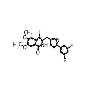 COc1cc2c(I)c(Cc3ccc(-c4cc(F)cc(F)c4)nc3)[nH]c(=O)c2cc1OC